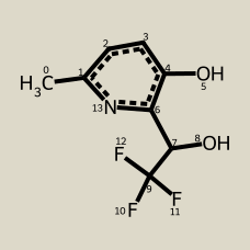 Cc1ccc(O)c(C(O)C(F)(F)F)n1